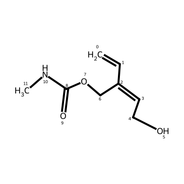 C=C/C(=C/CO)COC(=O)NC